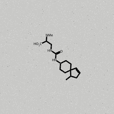 CNC(CNC(=O)NC1CCC2(C=CCC2C)CC1)C(=O)O